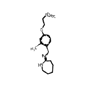 CCCCCCCCCCCCOc1ccc(CN=C2CCCCCN2)c(C)c1